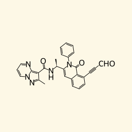 Cc1nn2cccnc2c1C(=O)N[C@@H](C)c1cc2cccc(C#CC=O)c2c(=O)n1-c1ccccc1